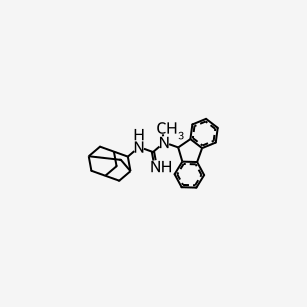 CN(C(=N)NC1C2CC3CC(C2)CC1C3)C1c2ccccc2-c2ccccc21